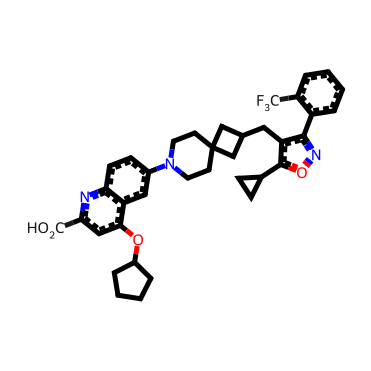 O=C(O)c1cc(OC2CCCC2)c2cc(N3CCC4(CC3)CC(Cc3c(-c5ccccc5C(F)(F)F)noc3C3CC3)C4)ccc2n1